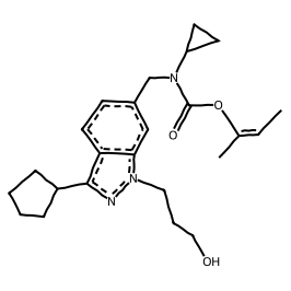 C/C=C(/C)OC(=O)N(Cc1ccc2c(C3CCCC3)nn(CCCO)c2c1)C1CC1